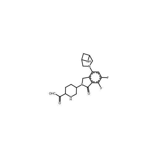 O=CC(=O)C1CCC(N2Cc3c(N4CC5CC(C4)N5)cc(F)c(F)c3C2=O)CN1